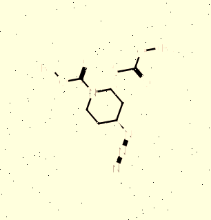 CC(C)(C)OC(=O)C[C@@H]1C[C@@H](N=[N+]=[N-])CCN1C(=O)OC(C)(C)C